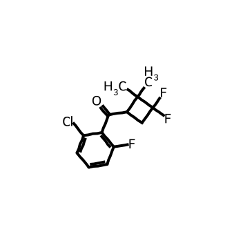 CC1(C)C(C(=O)c2c(F)cccc2Cl)CC1(F)F